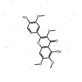 COc1cc(-c2oc3cc(OC)c(OC)c(O)c3c(=O)c2OC)ccc1O